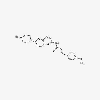 CCN1CCN(c2ccc3cc(NC(=O)C=Cc4ccc(OC(F)(F)F)cc4)ccc3n2)CC1